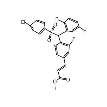 COC(=O)/C=C/c1cnc(C(c2cc(F)ccc2F)S(=O)(=O)c2ccc(Cl)cc2)c(F)c1